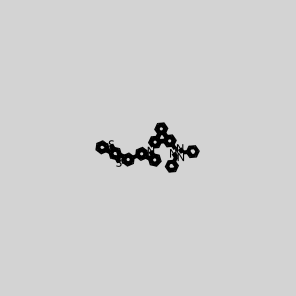 C1=CCCC(c2nc(C3=CCCCC3)nc(-c3ccc4c5ccccc5c5ccc(-n6c7ccccc7c7cc(-c8ccc9sc%10cc%11c(cc%10c9c8)sc8ccccc8%11)ccc76)cc5c4c3)n2)=C1